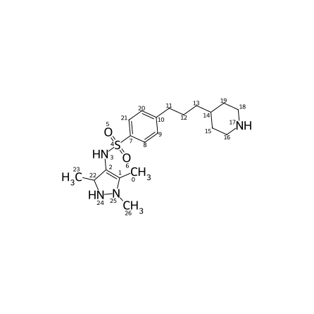 CC1=C(NS(=O)(=O)c2ccc(CCCC3CCNCC3)cc2)C(C)NN1C